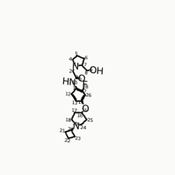 O=C(CN1CCCC1CO)Nc1ccc(OC2CCN(C3CCC3)CC2)cc1F